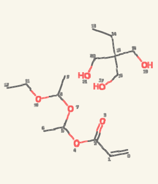 C=CC(=O)OC(C)OC(C)OCC.CCC(CO)(CO)CO